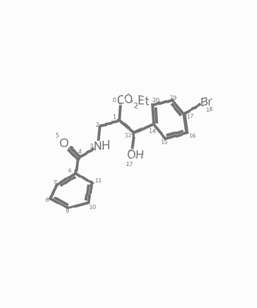 CCOC(=O)C(CNC(=O)c1ccccc1)C(O)c1ccc(Br)cc1